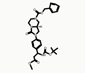 COC(=O)CC(NC(=O)OC(C)(C)C)c1ccc(N2C[C@@H]3CN(C(=O)OCc4ccccc4)CCN3C2=O)cc1